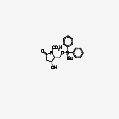 CC(C)(C)[Si](OC[C@@H]1[C@H](O)CC(=O)N1C(=O)O)(c1ccccc1)c1ccccc1